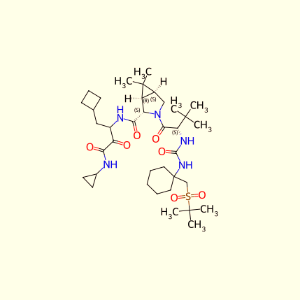 CC(C)(C)[C@H](NC(=O)NC1(CS(=O)(=O)C(C)(C)C)CCCCC1)C(=O)N1C[C@H]2[C@@H]([C@H]1C(=O)NC(CC1CCC1)C(=O)C(=O)NC1CC1)C2(C)C